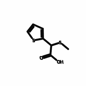 CSC(C(=O)O)c1cccs1